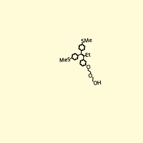 CCC(=C(c1ccc(SC)cc1)c1ccc(SC)cc1)c1cccc(OCCOCCO)c1